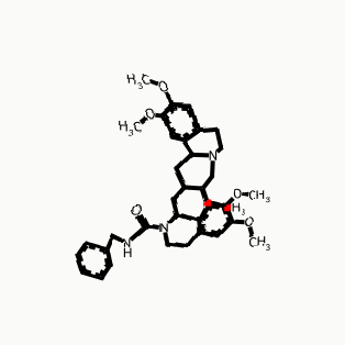 CCC1CN2CCc3cc(OC)c(OC)cc3C2CC1CC1c2cc(OC)c(OC)cc2CCN1C(=O)NCc1ccccc1